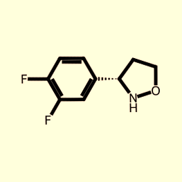 Fc1ccc([C@@H]2CCON2)cc1F